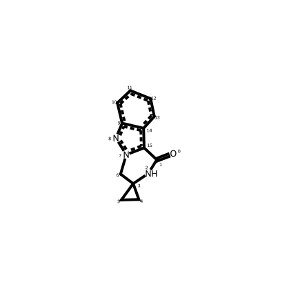 O=C1NC2(CC2)Cn2nc3ccccc3c21